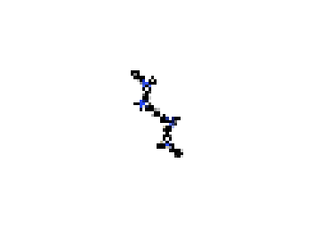 C=C/C=C(\C=C)N(c1ccc(-c2ccc(-c3ccc(N(C(/C=C\CC)=C/C)c4ccc(-c5ccc(N(c6ccccc6)c6ccc(-c7ccccc7)cc6)cc5)cc4)cc3)cc2)cc1)c1ccc(-c2ccc(N(c3ccccc3)c3ccc(-c4ccccc4)cc3)cc2)cc1